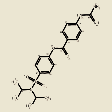 CC(C)N(C(C)C)S(=O)(=O)c1ccc(OC(=O)c2ccc(NC(=N)N)cc2)cc1